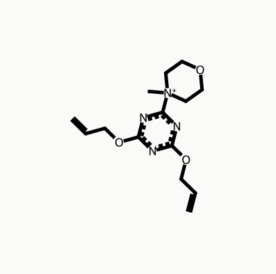 C=CCOc1nc(OCC=C)nc([N+]2(C)CCOCC2)n1